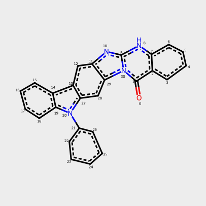 O=c1c2ccccc2[nH]c2nc3cc4c5ccccc5n(-c5ccccc5)c4cc3n12